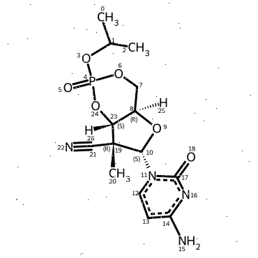 CC(C)OP1(=O)OC[C@H]2O[C@H](n3ccc(N)nc3=O)[C@](C)(C#N)[C@@H]2O1